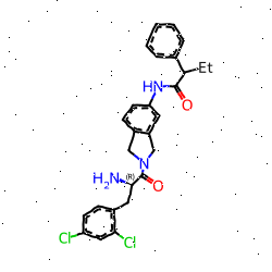 CCC(C(=O)Nc1ccc2c(c1)CN(C(=O)[C@H](N)Cc1ccc(Cl)cc1Cl)C2)c1ccccc1